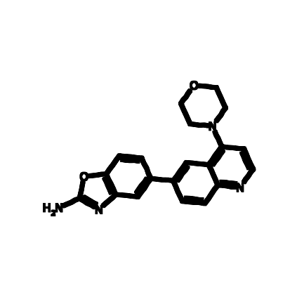 Nc1nc2cc(-c3ccc4nccc(N5CCOCC5)c4c3)ccc2o1